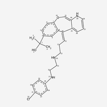 CC(C)(O)c1ccc2c(c1)/C(=C\CCNCCNc1ccc(Cl)cc1)C1=CC=CNC1=CO2